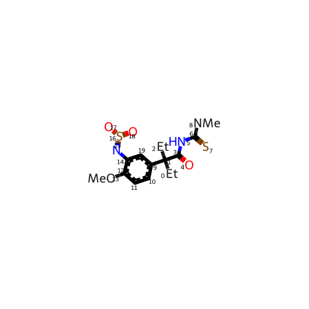 CCC(CC)(C(=O)NC(=S)NC)c1ccc(OC)c(N=S(=O)=O)c1